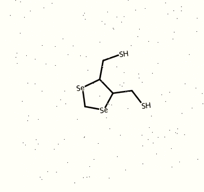 SCC1[Se]C[Se]C1CS